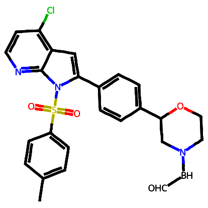 Cc1ccc(S(=O)(=O)n2c(-c3ccc(C4CN(BC=O)CCO4)cc3)cc3c(Cl)ccnc32)cc1